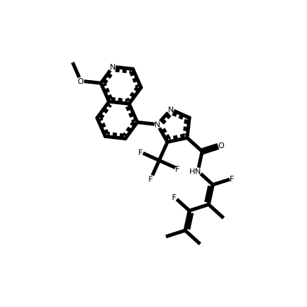 COc1nccc2c(-n3ncc(C(=O)NC(F)=C(C)C(F)=C(C)C)c3C(F)(F)F)cccc12